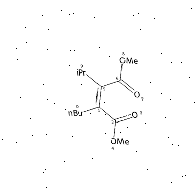 CCCC/C(C(=O)OC)=C(/C(=O)OC)C(C)C